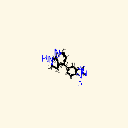 c1cc(-c2ccc3[nH]nnc3c2)c2cc[nH]c2n1